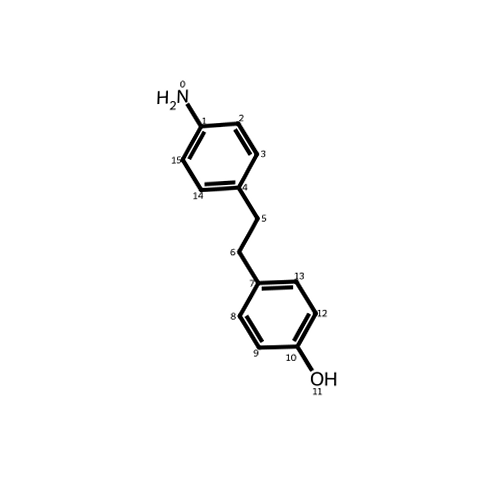 Nc1ccc(CCc2ccc(O)cc2)cc1